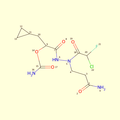 NC(=O)CCN(NC(=O)C(CC1CC1)OC(N)=O)C(=O)C(F)Cl